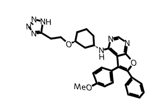 COc1ccc(-c2c(-c3ccccc3)oc3ncnc(N[C@H]4CCC[C@H](OCCc5nnn[nH]5)C4)c23)cc1